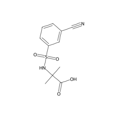 CC(C)(NS(=O)(=O)c1cccc(C#N)c1)C(=O)O